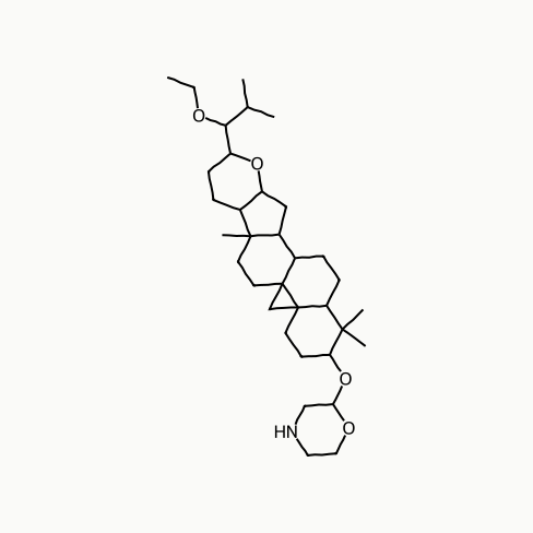 CCOC(C(C)C)C1CCC2C(CC3C4CCC5C(C)(C)C(OC6CNCCO6)CCC56CC46CCC23C)O1